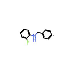 Fc1ccccc1NCc1cc[c]cc1